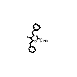 O=C(O)OC(=Cc1ccccc1)C(=O)C=Cc1ccccc1.[Pd].[Pd]